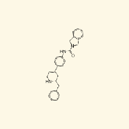 O=C(Nc1ccc(C2=CCNC(Cc3ccccc3)C2)cc1)N1Cc2ccccc2C1